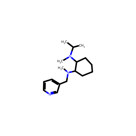 CC(C)N(C)C1CCCCC1N(C)Cc1cccnc1